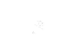 O=[N+]([O-])O.OCCCCCNc1nccc2occc12